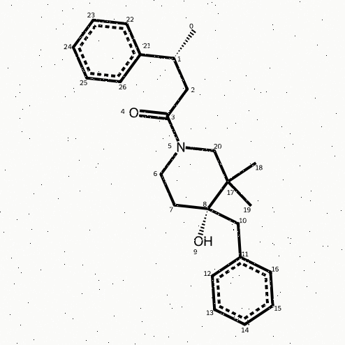 C[C@H](CC(=O)N1CC[C@](O)(Cc2cc[c]cc2)C(C)(C)C1)c1ccccc1